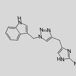 Nc1nc(Cc2cn(Cc3c[nH]c4ccccc34)nn2)c[nH]1